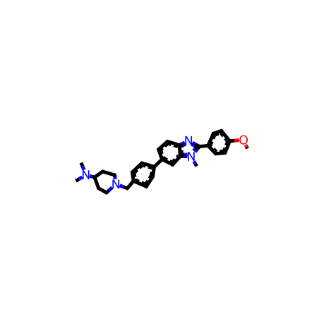 COc1ccc(-c2nc3ccc(-c4ccc(CN5CCC(N(C)C)CC5)cc4)cc3n2C)cc1